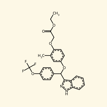 CCOC(=O)COc1ccc(OC(c2ccc(OC(F)(F)F)cc2)c2n[nH]c3ccccc23)cc1C